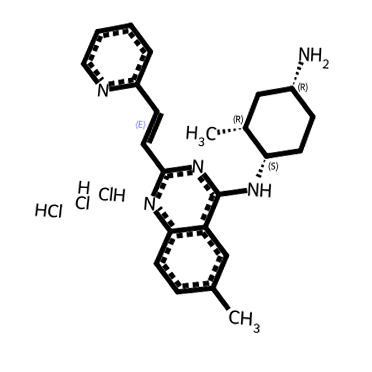 Cc1ccc2nc(/C=C/c3ccccn3)nc(N[C@H]3CC[C@@H](N)C[C@H]3C)c2c1.Cl.Cl.Cl